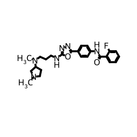 CN1CCC(N(C)CCCNc2nnc(-c3ccc(NC(=O)c4ccccc4F)cc3)o2)C1